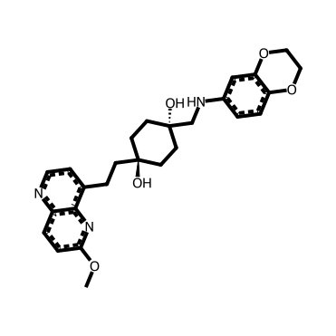 COc1ccc2nccc(CC[C@]3(O)CC[C@@](O)(CNc4ccc5c(c4)OCCO5)CC3)c2n1